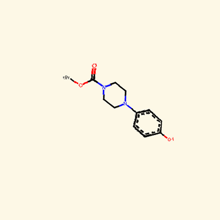 CCCOC(=O)N1CCN(c2ccc(O)cc2)CC1